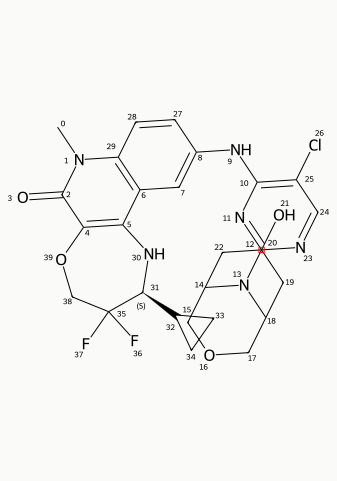 Cn1c(=O)c2c(c3cc(Nc4nc(N5C6COCC5CC(O)C6)ncc4Cl)ccc31)N[C@@H](C1CC1)C(F)(F)CO2